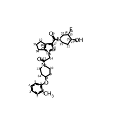 Cc1ccccc1OC1CCN(C(=O)Cn2nc(C(=O)N3CC[C@H](O)[C@H](F)C3)c3c2CCC3)CC1